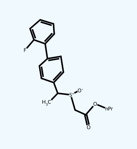 CCCOC(=O)C[S+]([O-])C(C)c1ccc(-c2ccccc2F)cc1